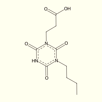 CCCCn1c(=O)[nH]c(=O)n(CCC(=O)O)c1=O